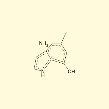 Cc1cc(O)c2[nH]ccc2c1.N